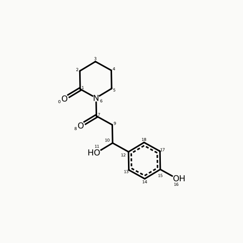 O=C1CCCCN1C(=O)CC(O)c1ccc(O)cc1